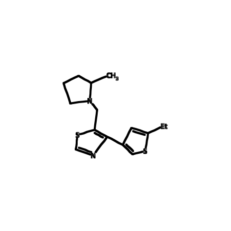 CCc1cc(-c2ncsc2CN2CCCC2C)cs1